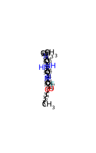 CCCCCCCOC(=O)c1ccc(/N=N/c2ccc(NNc3ccc(N(CC)CC)cc3)cc2)cc1F